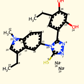 CCc1cc(-c2nnc(S)n2-c2ccc3c(c2)c(CC)cn3C)c(O)cc1O.[Na].[Na]